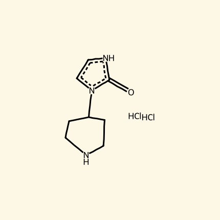 Cl.Cl.O=c1[nH]ccn1C1CCNCC1